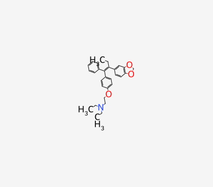 CCC(=C(c1ccccc1)c1ccc(OCCN(CC)CC)cc1)c1ccc2c(c1)OCO2